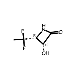 CC(F)(F)[C@@H]1NC(=O)[C@@H]1O